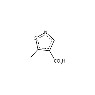 O=C(O)c1cnsc1I